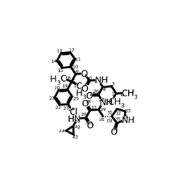 CC(C)CC(NC(=O)OC(c1ccccc1)C(C)(C)c1cccc(Cl)c1)C(=O)NC(C[C@@H]1CCNC1=O)C(=O)C(=O)NC1CC1